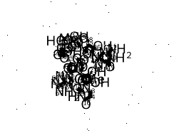 COC[C@@H]1[C@H](P(=O)([O-])OC[C@H]2O[C@@H](n3ccc(=O)[nH]c3=O)[C@H](O)[C@@H]2O)[C@@H](COP(=O)(O)OP(=O)(O)OP(=O)(O)OC[C@H]2O[C@@H](n3c[n+](C)c4c(=O)[nH]c(N)nc43)[C@H](O)[C@@H]2COC)O[C@H]1n1cnc2c(N)ncnc21